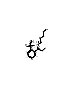 CCCCCNC(CC)c1ccccc1C(C)(C)N